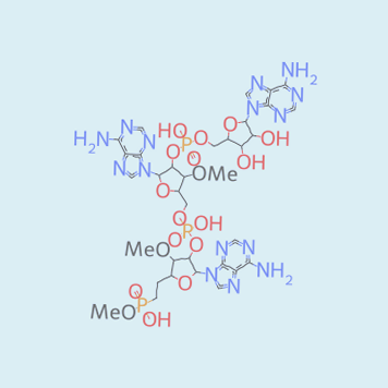 COC1C(CCP(=O)(O)OC)OC(n2cnc3c(N)ncnc32)C1OP(=O)(O)OCC1OC(n2cnc3c(N)ncnc32)C(OP(=O)(O)OCC2OC(n3cnc4c(N)ncnc43)C(O)C2O)C1OC